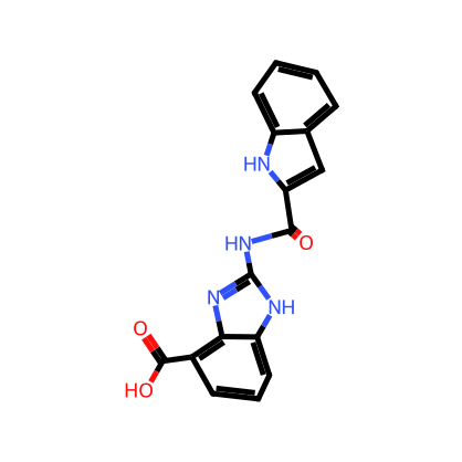 O=C(Nc1nc2c(C(=O)O)cccc2[nH]1)c1cc2ccccc2[nH]1